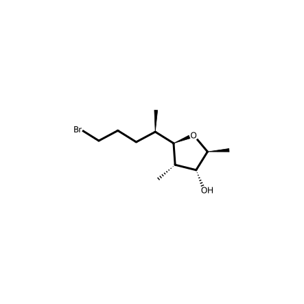 C[C@H]1[C@@H](O)[C@H](C)O[C@@H]1[C@H](C)CCCBr